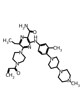 C=CC(=O)N1CCN(c2nc(Nc3ccc(N4CCC(N5CCN(C)CC5)CC4)c(C)c3)c(C(N)=O)nc2CC)CC1